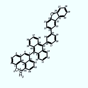 Cc1cccc2cc(-c3c4ccccc4c(-c4cccc(-c5ccc6oc7ccccc7c6c5)c4)c4ccccc34)c3cccc(C)c3c12